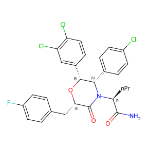 CCC[C@@H](C(N)=O)N1C(=O)[C@H](Cc2ccc(F)cc2)O[C@H](c2ccc(Cl)c(Cl)c2)[C@@H]1c1ccc(Cl)cc1